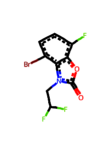 O=c1oc2c(F)ccc(Br)c2n1CC(F)F